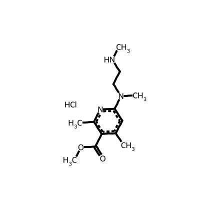 CNCCN(C)c1cc(C)c(C(=O)OC)c(C)n1.Cl